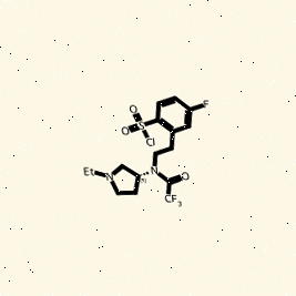 CCN1CC[C@@H](N(CCc2cc(F)ccc2S(=O)(=O)Cl)C(=O)C(F)(F)F)C1